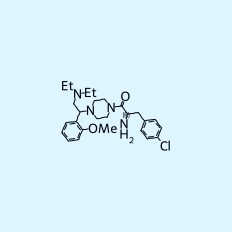 CCN(CC)CC(c1ccccc1OC)N1CCN(C(=O)[C@H](N)Cc2ccc(Cl)cc2)CC1